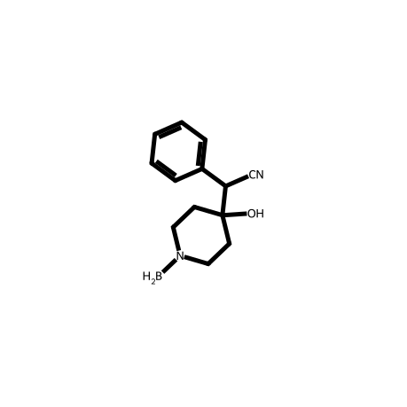 BN1CCC(O)(C(C#N)c2ccccc2)CC1